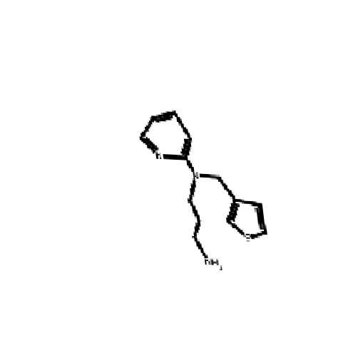 NCCCN(Cc1ccsc1)c1ccccn1